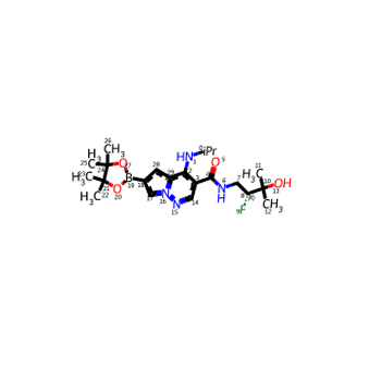 CC(C)Nc1c(C(=O)NC[C@@H](F)C(C)(C)O)cnn2cc(B3OC(C)(C)C(C)(C)O3)cc12